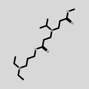 CCN(CC)CCCOC(=O)CCN(CCC(=O)OC)C(C)C